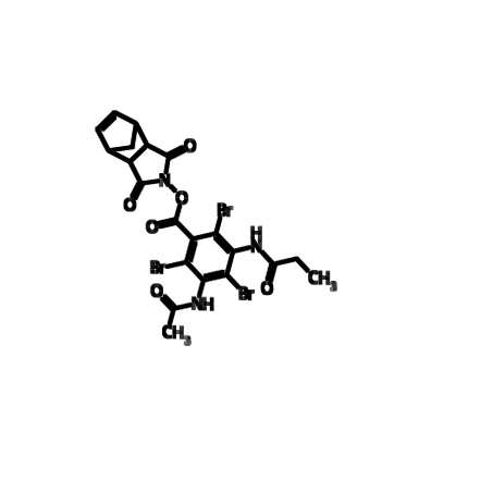 CCC(=O)Nc1c(Br)c(NC(C)=O)c(Br)c(C(=O)ON2C(=O)C3C4C=CC(C4)C3C2=O)c1Br